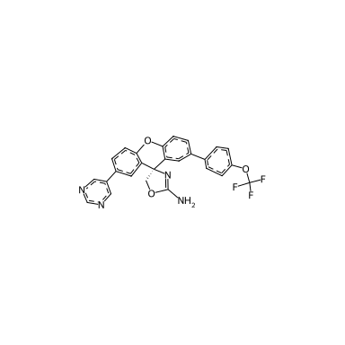 NC1=N[C@]2(CO1)c1cc(-c3ccc(OC(F)(F)F)cc3)ccc1Oc1ccc(-c3cncnc3)cc12